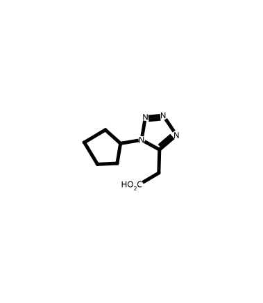 O=C(O)Cc1nnnn1C1CCCC1